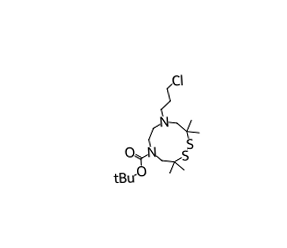 CC(C)(C)OC(=O)N1CCN(CCCCl)CC(C)(C)SSC(C)(C)C1